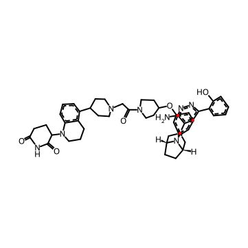 Nc1nnc(-c2ccccc2O)cc1N1C[C@H]2CC[C@@H](C1)N2c1cccc(OC2CCN(C(=O)CN3CCC(c4cccc5c4CCCN5C4CCC(=O)NC4=O)CC3)CC2)c1